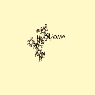 COCCN1C[C@@H](NC(=O)Nc2c(C)c(-c3cnc4c(c3)ncn4C)nn2-c2ccccc2)[C@H](c2cc(F)nc(F)c2)O1